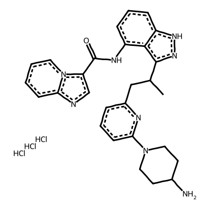 CC(Cc1cccc(N2CCC(N)CC2)n1)c1n[nH]c2cccc(NC(=O)c3cnc4ccccn34)c12.Cl.Cl.Cl